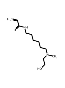 C=CC(=O)NCCCCCCN(C)CCO